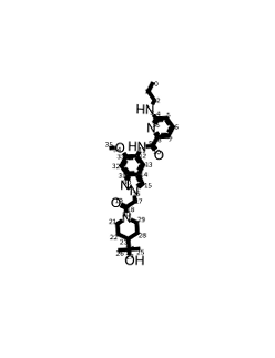 CCCNc1cccc(C(=O)Nc2cc3cn(CC(=O)N4CCC(C(C)(C)O)CC4)nc3cc2OC)n1